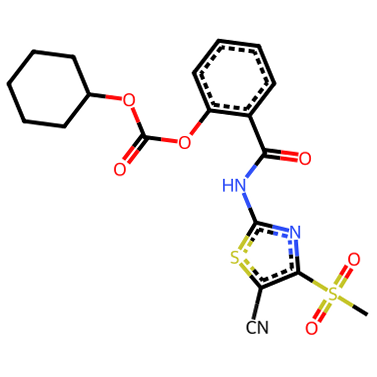 CS(=O)(=O)c1nc(NC(=O)c2ccccc2OC(=O)OC2CCCCC2)sc1C#N